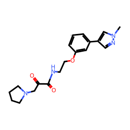 Cn1cc(-c2c[c]cc(OCCNC(=O)C(=O)CN3CCCC3)c2)cn1